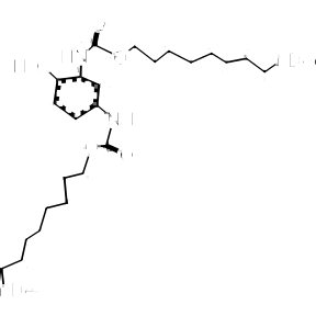 CCCCCCCCCCCCCCCCCCOC(=O)Nc1ccc(C)c(NC(=O)OCCCCCCCCCCCCCCCCCC)c1